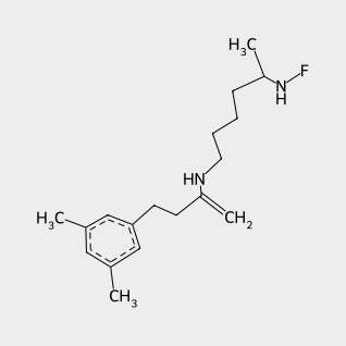 C=C(CCc1cc(C)cc(C)c1)NCCCCC(C)NF